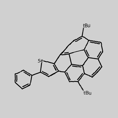 CC(C)(C)c1cc2c3cc(-c4ccccc4)[se]c3c3cc(C(C)(C)C)c4ccc5ccc1c1c5c4c3c21